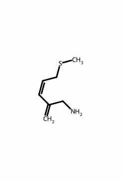 C=C(/C=C\CSC)CN